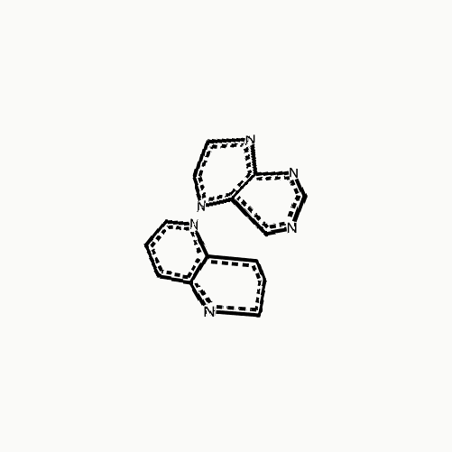 c1cnc2cccnc2c1.c1cnc2ncncc2n1